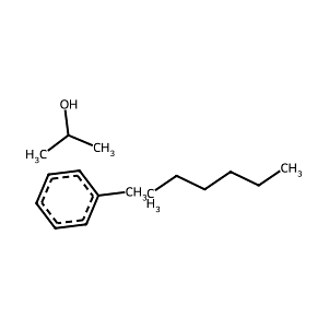 CC(C)O.CCCCCC.Cc1ccccc1